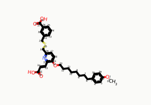 COc1ccc(CCCCCCCCOc2ccc(CSCc3cccc(C(=O)O)c3)nc2C=CC(=O)O)cc1